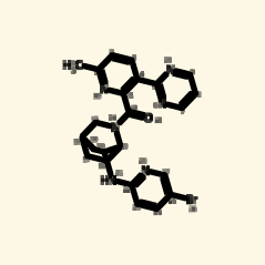 Cc1ccc(-c2ncccn2)c(C(=O)N2CC3CCC2C(Nc2ccc(Br)cn2)C3)n1